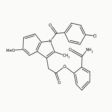 COc1ccc2c(c1)c(CC(=O)Oc1ccccc1C(N)=O)c(C)n2C(=O)c1ccc(Cl)cc1